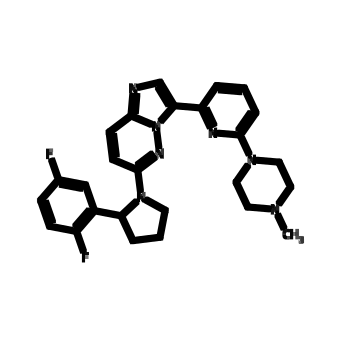 CN1CCN(c2cccc(-c3cnc4ccc(N5CCCC5c5cc(F)ccc5F)nn34)n2)CC1